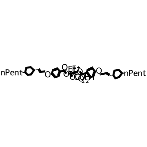 CCCCC[C@H]1CC[C@H](C=CCOc2ccc(C(=O)O[C@@](CC)(C(=O)O)[C@@](CC)(OC(=O)c3ccc(OCC=C[C@H]4CC[C@H](CCCCC)CC4)cc3)C(=O)O)cc2)CC1